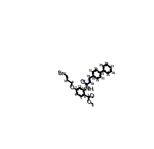 COC(=O)c1ccc(OCCCBr)cc1NC(=O)/C=C/c1ccc(-c2ccccc2)cc1